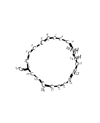 O=C1CCCCCCCCNNON=NCCCCCC1